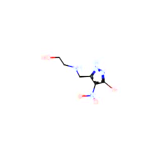 O=[N+]([O-])c1c(Br)n[nH]c1CNCCO